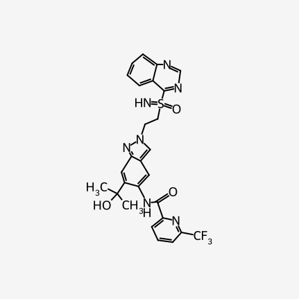 CC(C)(O)c1cc2nn(CCS(=N)(=O)c3ncnc4ccccc34)cc2cc1NC(=O)c1cccc(C(F)(F)F)n1